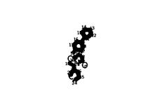 O=C1CC[C@]2(Cc3ccc(-c4ccccc4)cc3)OCC(c3ccccc3)N12